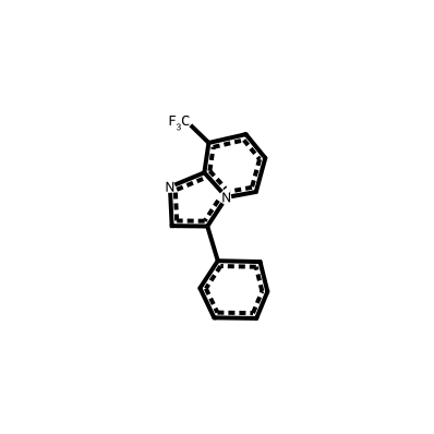 FC(F)(F)c1cccn2c(-c3ccccc3)cnc12